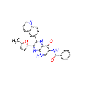 Cc1ccc(-c2nc3[nH]cc(NC(=O)c4ccccc4)c(=O)c3nc2-c2ccc3ncccc3c2)o1